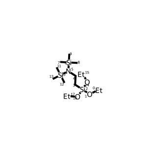 CCO[Si](CCN([Si](C)(C)C)[Si](C)(C)C)(OCC)OCC